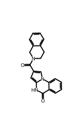 O=C(c1cc2[nH]c(=O)c3ccccc3n2c1)N1CCc2ccccc2C1